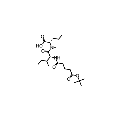 CCC[C@H](NC(=O)[C@@H](NC(=O)CCCC(=O)OC(C)(C)C)C(C)CC)C(=O)O